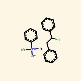 CCC[N+](CCC)(CCC)c1ccccc1.ClC(Cc1ccccc1)c1ccccc1